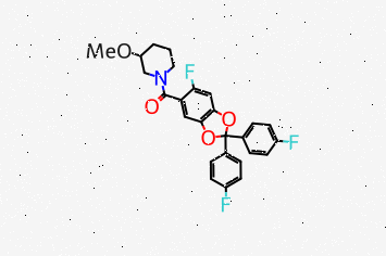 COC1CCCN(C(=O)c2cc3c(cc2F)OC(c2ccc(F)cc2)(c2ccc(F)cc2)O3)C1